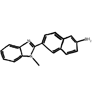 Bc1ccc2cc(-c3nc4ccccc4n3C)ccc2c1